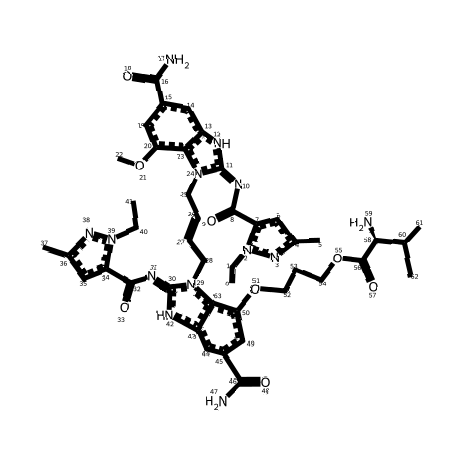 CCn1nc(C)cc1C(=O)/N=c1/[nH]c2cc(C(N)=O)cc(OC)c2n1C/C=C/Cn1/c(=N/C(=O)c2cc(C)nn2CC)[nH]c2cc(C(N)=O)cc(OCCCOC(=O)[C@@H](N)C(C)C)c21